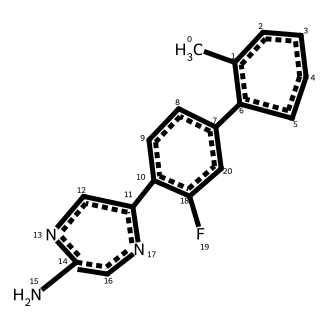 Cc1ccccc1-c1ccc(-c2cnc(N)cn2)c(F)c1